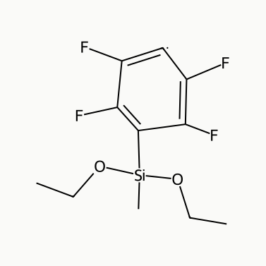 CCO[Si](C)(OCC)c1c(F)c(F)[c]c(F)c1F